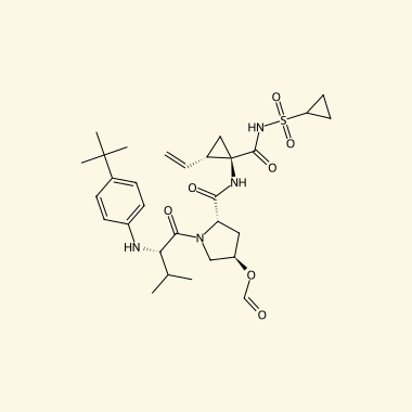 C=C[C@@H]1C[C@]1(NC(=O)[C@@H]1C[C@@H](OC=O)CN1C(=O)[C@@H](Nc1ccc(C(C)(C)C)cc1)C(C)C)C(=O)NS(=O)(=O)C1CC1